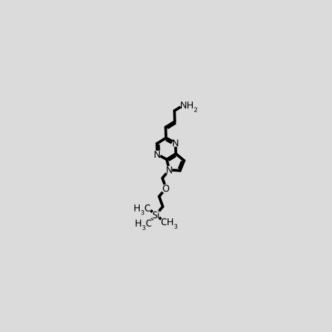 C[Si](C)(C)CCOCn1ccc2nc(C=CCN)cnc21